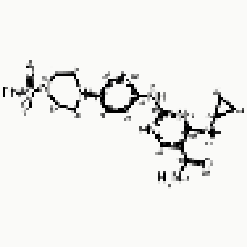 CCS(=O)(=O)N1CCN(c2ccc(Nc3ncc(C(N)=O)c(NC4CC4)n3)nc2)CC1